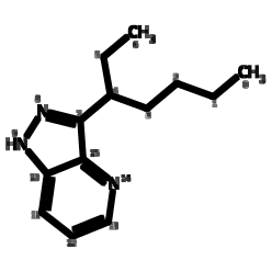 CCCCC(CC)c1n[nH]c2cccnc12